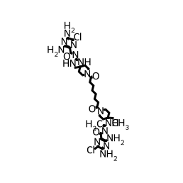 CCC1(N/C(C)=N/C(=O)c2nc(Cl)c(N)nc2N)CCN(C(=O)CCCCCCC(=O)N2CCC3(CC2)CN/C(=N\C(=O)c2nc(Cl)c(N)nc2N)N3)CC1